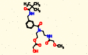 COCC(=O)NCCN(CCOC(=O)CO)C(=O)c1cccc(CNC(=O)C(C)(C)C)c1